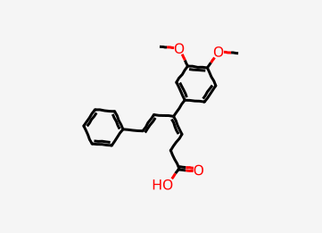 COc1ccc(C(C=Cc2ccccc2)=CCC(=O)O)cc1OC